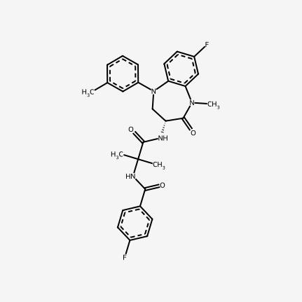 Cc1cccc(N2C[C@@H](NC(=O)C(C)(C)NC(=O)c3ccc(F)cc3)C(=O)N(C)c3cc(F)ccc32)c1